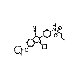 CCCS(=O)(=O)Nc1ccc(C2C(C#N)c3ccc(Oc4ccccn4)cc3N2C2CCC2)cc1